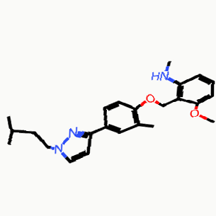 CNc1cccc(OC)c1COc1ccc(-c2ccn(CCC(C)C)n2)cc1C